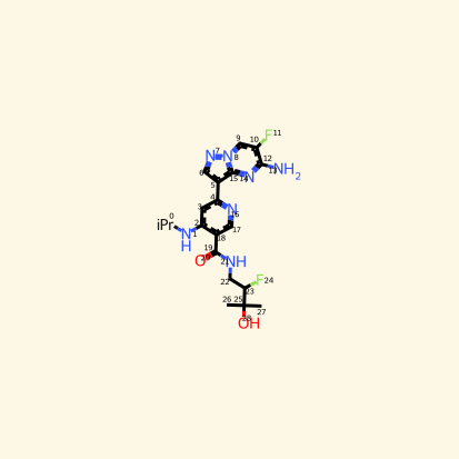 CC(C)Nc1cc(-c2cnn3cc(F)c(N)nc23)ncc1C(=O)NCC(F)C(C)(C)O